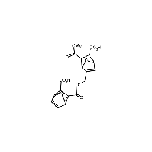 COC(=O)C1C2OC(C=C2COC(=O)c2c(C(=O)O)c3ccc2o3)C1C(=O)O